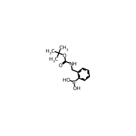 CC(C)(C)OC(=O)NCc1ccccc1B(O)O